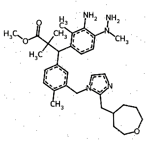 COC(=O)C(C)(C)C(c1ccc(C)c(Cn2ccnc2CC2CCCOCC2)c1)c1ccc(N(C)N)c(N)c1C